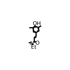 CCN(C)C(=O)/C=C/c1cc(C)c(O)c(C)c1